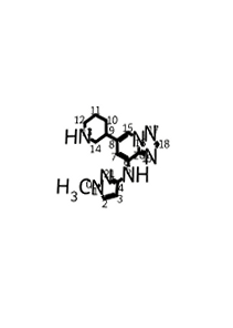 Cn1ccc(Nc2cc(C3CCCNC3)cn3ncnc23)n1